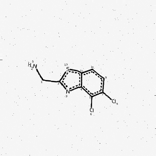 NCc1nc2c(Cl)c(Cl)ccc2s1